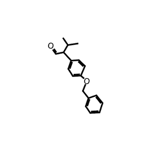 CC(C)C(C=O)c1ccc(OCc2ccccc2)cc1